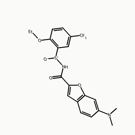 CCOc1ccc(C(F)(F)F)cc1[S+]([O-])NC(=O)c1cc2ccc(N(C)C)cc2o1